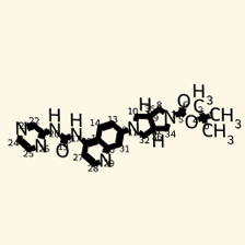 CC(C)(C)OC(=O)N1C[C@@H]2CN(c3ccc4c(NC(=O)Nc5cnccn5)ccnc4c3)C[C@@H]2C1